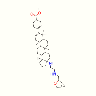 COC(=O)C1CC=C(C2=CCC3(C)C(CCC4(C)C5CCC6(NCCNCC7OCC8CC87)CCC[C@@H]6C5CCC43)C2(C)C)CC1